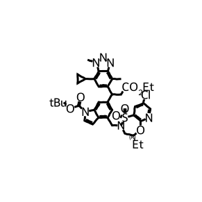 CCOC(=O)CC(c1cc(CN2C[C@@H](CC)Oc3ncc(Cl)cc3S2(=O)=O)c2ccn(C(=O)OC(C)(C)C)c2c1)c1cc(C2CC2)c2c(nnn2C)c1C